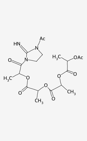 CC(=O)OC(C)C(=O)OC(C)C(=O)OC(C)C(=O)OC(C)C(=O)N1CCN(C(C)=O)C1=N